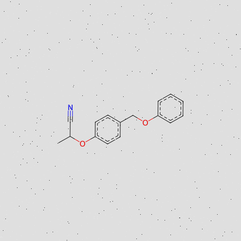 CC(C#N)Oc1ccc(COc2ccccc2)cc1